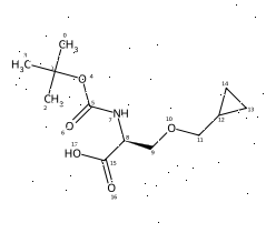 CC(C)(C)OC(=O)N[C@@H](COCC1CC1)C(=O)O